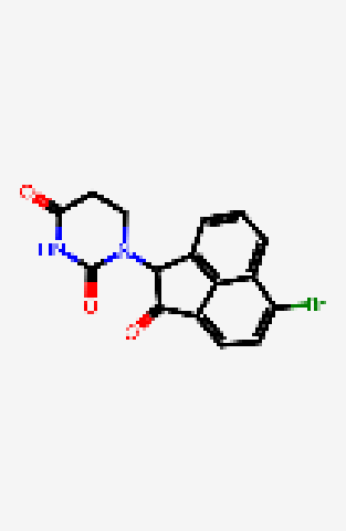 O=C1CCN(C2C(=O)c3ccc(Br)c4cccc2c34)C(=O)N1